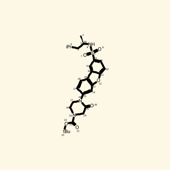 CC(C)C[C@@H](C)NS(=O)(=O)c1ccc2oc3cc(N4CCN(C(=O)OC(C)(C)C)CC4=O)ccc3c2c1